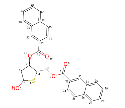 O=C(OC[C@@H]1SC(O)C[C@H]1OC(=O)c1ccc2ccccc2c1)c1ccc2ccccc2c1